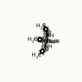 Cc1ccc(S(=O)(=O)NCCN(CCNS(=O)(=O)c2ccc(C)cc2)S(=O)(=O)c2ccc(C)cc2)cc1.[NaH].[NaH]